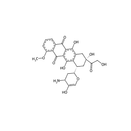 COc1cccc2c1C(=O)c1c(O)c3c(c(O)c1C2=O)C[C@@](O)(C(=O)CO)C[C@@H]3C1CC(N)C(O)=CO1